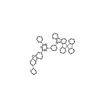 c1ccc(-c2ccc3oc4cc(-c5nc(-c6ccccc6)nc(-c6cccc(-n7c8ccccc8c8ccc9c(c87)-c7ccccc7C97c8ccccc8-c8ccccc87)c6)n5)ccc4c3c2)cc1